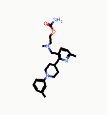 Cc1cccc(N2CCC(c3nc(C)ccc3CN(C)CCOC(N)=O)CC2)c1